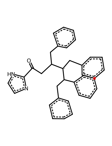 O=C(CC(Cc1ccccc1)[C](Cc1ccccc1)C(Cc1ccccc1)c1ccccc1)c1ncc[nH]1